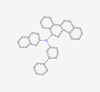 c1ccc(-c2cccc(N(c3ccc4ccccc4c3)c3cc4c5ccccc5ccc4c4ccccc34)c2)cc1